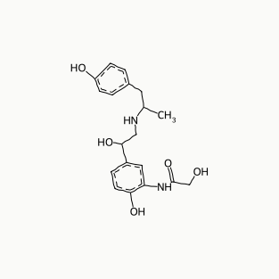 CC(Cc1ccc(O)cc1)NCC(O)c1ccc(O)c(NC(=O)CO)c1